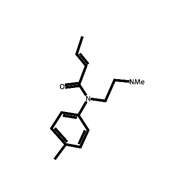 C/C=C/C(=O)N(CCNC)c1ccc(C)cc1